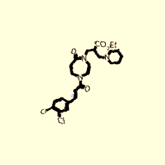 CCOC(=O)C(CN1CCCCC1)CN1CCN(C(=O)/C=C/c2ccc(Cl)c(Cl)c2)CCC1=O